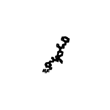 COc1cccc(CCC(=O)Nc2sc3c(c2C#N)CCN(C(=O)OCCc2ccccn2)C3)c1